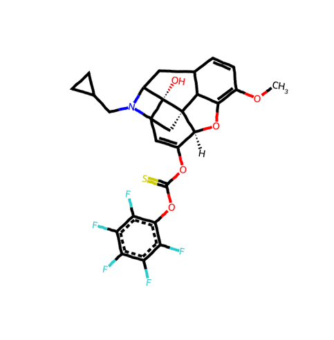 COC1=C2O[C@H]3C(OC(=S)Oc4c(F)c(F)c(F)c(F)c4F)=CC45C[C@]36C2C(C=C1)CC(N4CC1CC1)[C@]56O